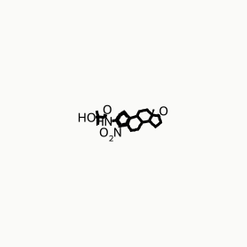 CC(C)(O)C(=O)Nc1ccc2c(c1[N+](=O)[O-])CCC1C2CC[C@]2(C)C(=O)CCC12